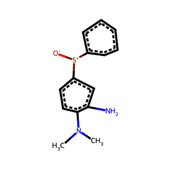 CN(C)c1ccc([S+]([O-])c2ccccc2)cc1N